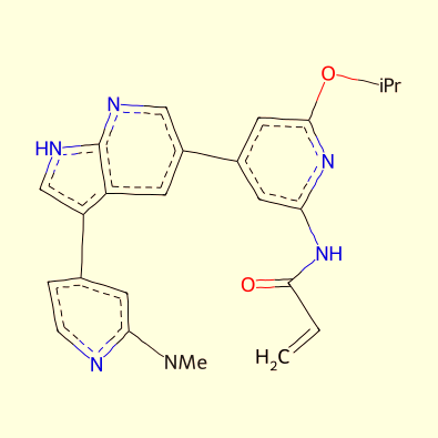 C=CC(=O)Nc1cc(-c2cnc3[nH]cc(-c4ccnc(NC)c4)c3c2)cc(OC(C)C)n1